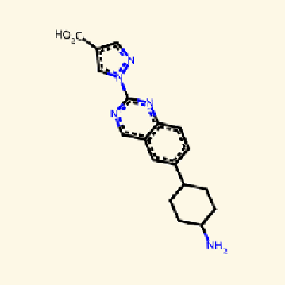 NC1CCC(c2ccc3nc(-n4cc(C(=O)O)cn4)ncc3c2)CC1